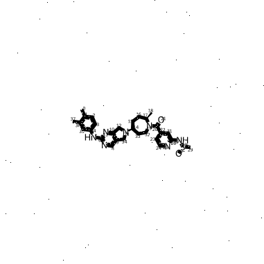 Cc1ccc(Nc2ncc3c(n2)CN([C@H]2CC[C@@H](C)N(C(=O)c4ccnc(N[S+](C)[O-])c4)CC2)C3)cc1C